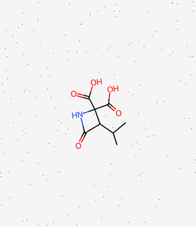 CC(C)C1C(=O)NC1(C(=O)O)C(=O)O